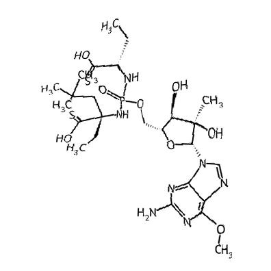 CC[C@H](NP(=O)(N[C@@](CC)(CC(C)(C)C)C(O)=S)OC[C@H]1O[C@@H](n2cnc3c(OC)nc(N)nc32)[C@](C)(O)[C@@H]1O)C(O)=S